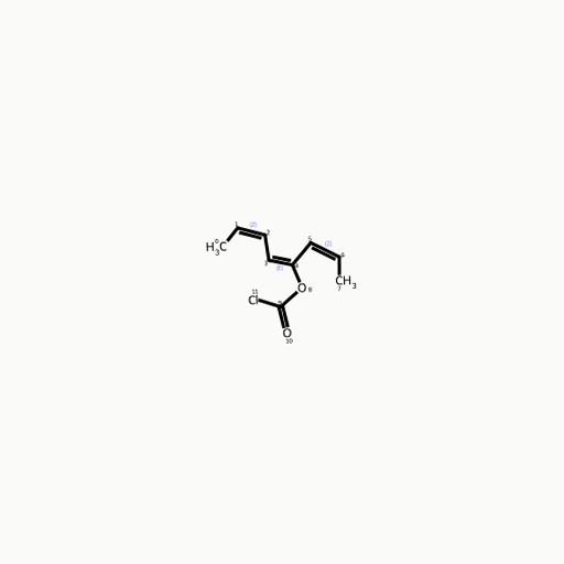 C\C=C/C=C(\C=C/C)OC(=O)Cl